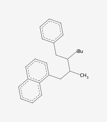 CCC(C)C(Cc1ccccc1)C(C)Cc1cccc2ccccc12